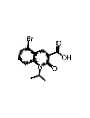 CC(C)n1c(=O)c(C(=O)O)cc2c(Br)cccc21